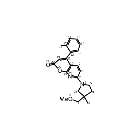 COCC1(C)CCN(c2ccc3c(-c4ccccc4C)cc(=O)oc3n2)C1